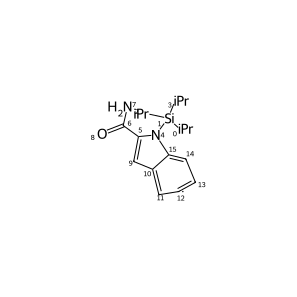 CC(C)[Si](C(C)C)(C(C)C)n1c(C(N)=O)cc2c[c]ccc21